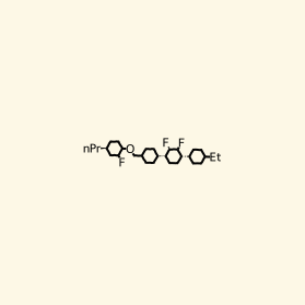 CCC[C@H]1CCC(OCC2CCC([C@H]3CC[C@@H](C4CCC(CC)CC4)C(F)[C@H]3F)CC2)C(F)C1